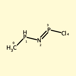 CPN=PCl